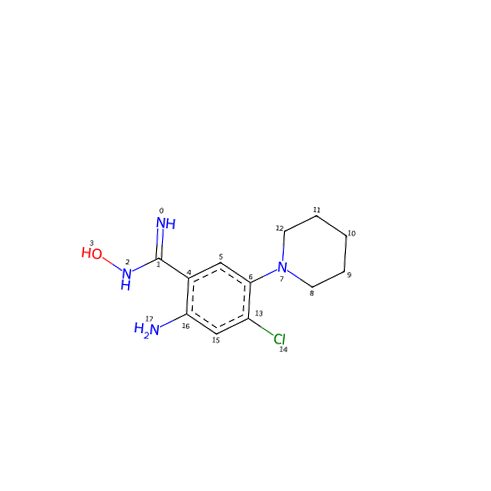 N=C(NO)c1cc(N2CCCCC2)c(Cl)cc1N